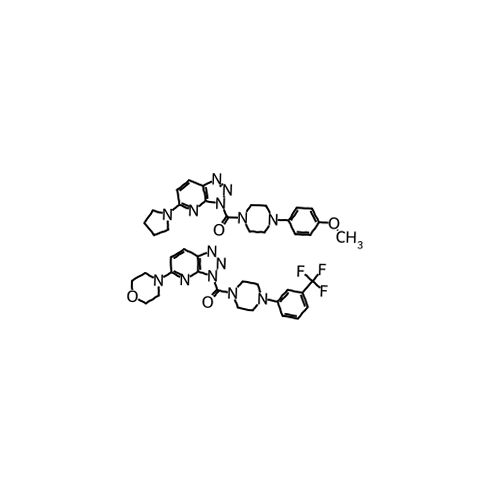 COc1ccc(N2CCN(C(=O)n3nnc4ccc(N5CCCC5)nc43)CC2)cc1.O=C(N1CCN(c2cccc(C(F)(F)F)c2)CC1)n1nnc2ccc(N3CCOCC3)nc21